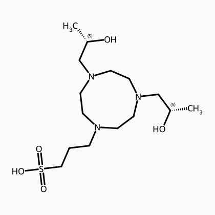 C[C@H](O)CN1CCN(CCCS(=O)(=O)O)CCN(C[C@H](C)O)CC1